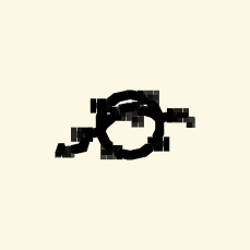 CC(=O)CNC12CNCCNCC(N)(CNCCNC1)CNCCNC2